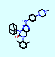 Cc1cccc(C)c1N1Cc2cnc(Nc3ccc(N4CCN(C)CC4)cc3)nc2N(C23CC4CC(CC(C4)C2)C3)C1=O